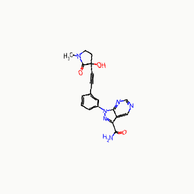 CN1CCC(O)(C#Cc2cccc(-n3nc(C(N)=O)c4cncnc43)c2)C1=O